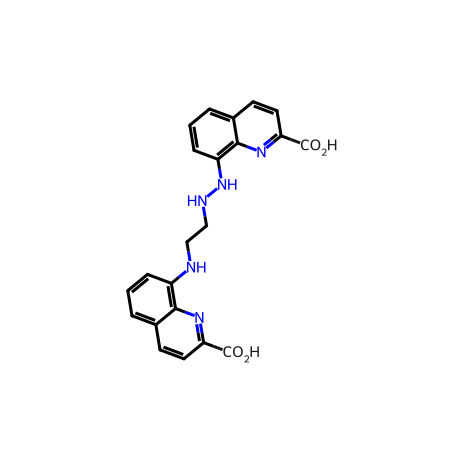 O=C(O)c1ccc2cccc(NCCNNc3cccc4ccc(C(=O)O)nc34)c2n1